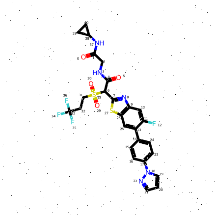 O=C(CNC(=O)C(c1nc2cc(F)c(-c3ccc(-n4cccn4)cc3)cc2s1)S(=O)(=O)CCC(F)(F)F)NC1CC1